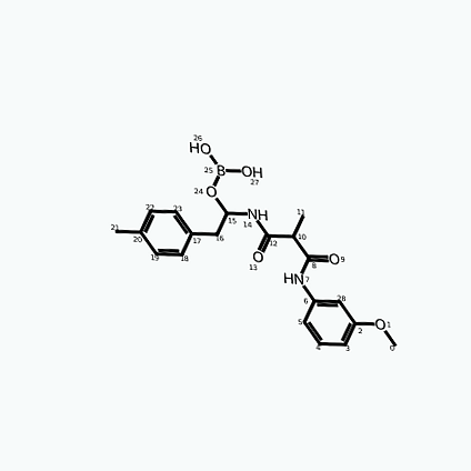 COc1cccc(NC(=O)C(C)C(=O)NC(Cc2ccc(C)cc2)OB(O)O)c1